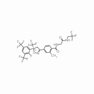 Cc1cc(C2=NO[C@@](c3cc(C(F)(F)F)cc(C(F)(F)F)c3F)(C(F)(F)F)C2)ccc1C(=O)NCC(=O)NCC(F)(F)F